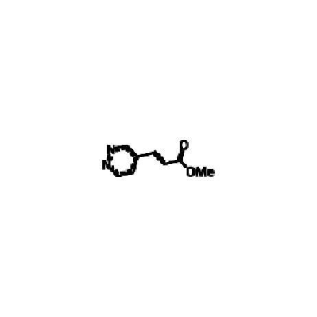 COC(=O)C=Cc1ccnnc1